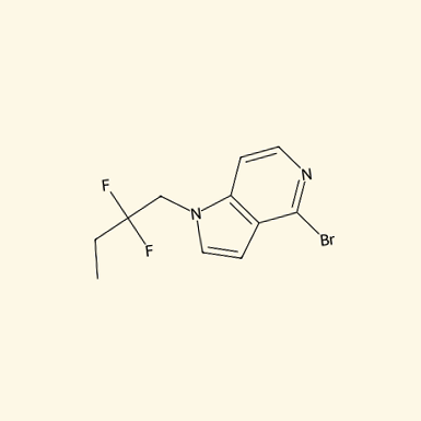 CCC(F)(F)Cn1ccc2c(Br)nccc21